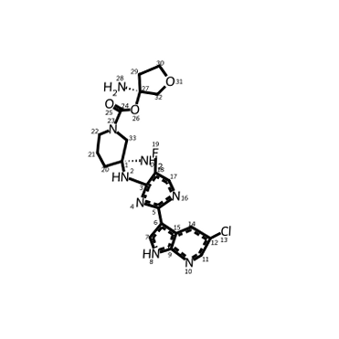 N[C@]1(Nc2nc(-c3c[nH]c4ncc(Cl)cc34)ncc2F)CCCN(C(=O)O[C@@]2(N)CCOC2)C1